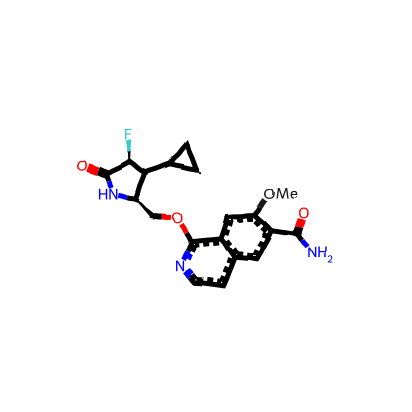 COc1cc2c(OC[C@H]3NC(=O)[C@@H](F)C3C3CC3)nccc2cc1C(N)=O